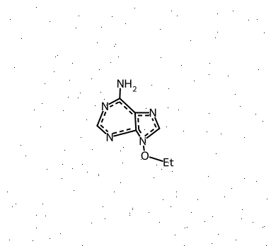 CCOn1cnc2c(N)ncnc21